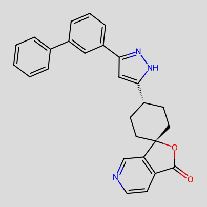 O=C1O[C@]2(CC[C@@H](c3cc(-c4cccc(-c5ccccc5)c4)n[nH]3)CC2)c2cnccc21